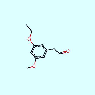 CCOc1cc(CC=O)cc(OC)c1